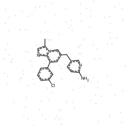 Cc1cnc2c(-c3cccc(Cl)c3)cc(Cc3ccc(N)nc3)cn12